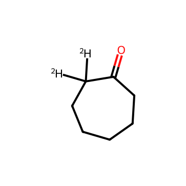 [2H]C1([2H])CCCCCC1=O